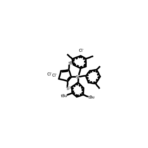 Cc1cc(C)cc([Si](C2=[C]([Ti+3])CC=C2C(C)(C)C)(c2cc(C)cc(C)c2)c2cc(C(C)(C)C)cc(C(C)(C)C)c2)c1.[Cl-].[Cl-].[Cl-]